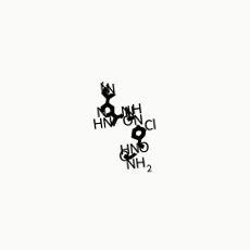 Cn1cc(-c2cnc3[nH]cc(-c4nnc(Nc5ccc(C(=O)NCC(N)=O)cc5Cl)o4)c3c2)cn1